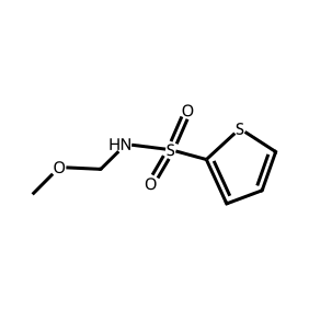 COCNS(=O)(=O)c1cccs1